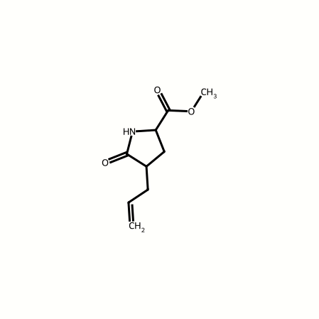 C=CCC1CC(C(=O)OC)NC1=O